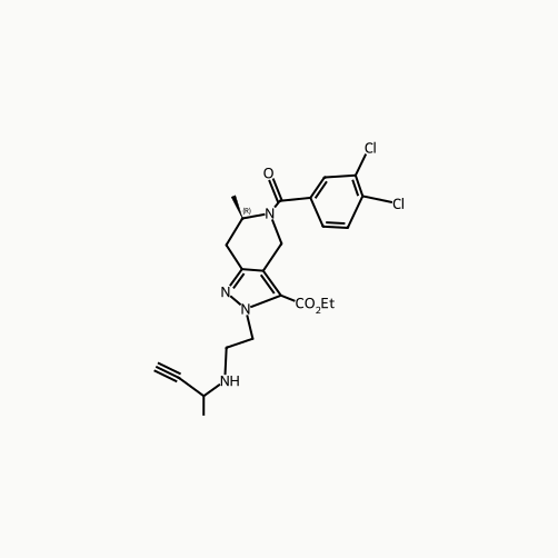 C#CC(C)NCCn1nc2c(c1C(=O)OCC)CN(C(=O)c1ccc(Cl)c(Cl)c1)[C@H](C)C2